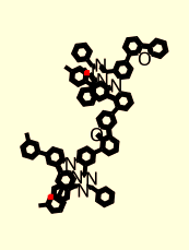 Cc1ccc(-c2ccc3c4c(-c5ccc6oc7c(-c8ccc(-n9c%10ccc(-c%11cccc(C)c%11)cc%10c%10cc(-c%11cccc(C)c%11)ccc%109)c(-c9nc(-c%10ccccc%10)nc(-c%10ccccc%10)n9)c8)cccc7c6c5)cccc4n(-c4ccc(-c5cccc6c5oc5ccccc56)cc4-c4nc(-c5ccccc5)nc(-c5ccccc5)n4)c3c2)cc1